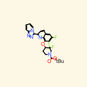 CC(C)(C)OC(=O)N1CCC(Oc2cc(F)cc3ccc(-c4nnc5ccccn45)nc23)C(F)(F)C1